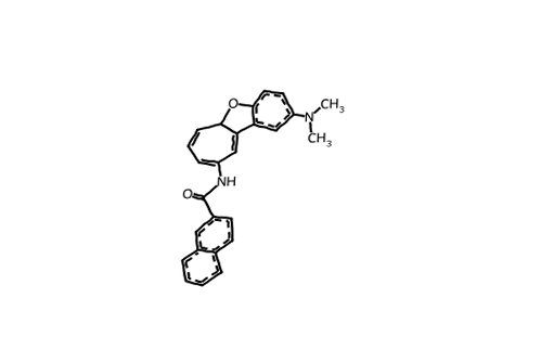 CN(C)c1ccc2c(c1)C1=CC(NC(=O)c3ccc4ccccc4c3)=CC=CC1O2